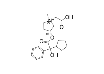 C[N@@+]1(CC(=O)O)CC[C@@H](OC(=O)C(O)(c2ccccc2)C2CCCC2)C1